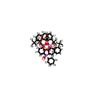 CC(C)(C)c1ccccc1OP(Oc1ccccc1C(C)(C)C)Oc1ccccc1P(=O)(c1ccccc1)c1ccccc1OP(Oc1ccccc1C(C)(C)C)Oc1ccccc1C(C)(C)C